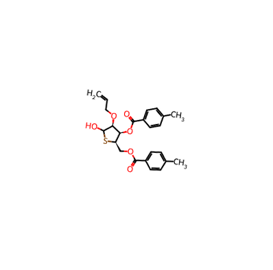 C=CCO[C@@H]1C(O)S[C@H](COC(=O)c2ccc(C)cc2)[C@@H]1OC(=O)c1ccc(C)cc1